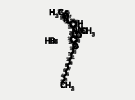 Br.CCCCCCCCCCCCCCOc1ccc(CN(C(=O)NC)c2cccc(CN3C=C(C)SC3)c2)cc1